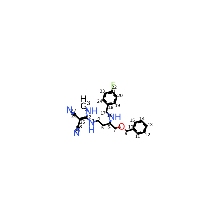 CNC(NCCC(COCc1ccccc1)NCc1ccc(F)cc1)=C(C#N)C#N